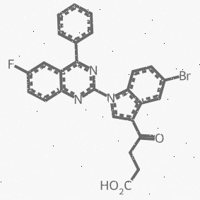 O=C(O)CCC(=O)c1cn(-c2nc(-c3ccccc3)c3cc(F)ccc3n2)c2ccc(Br)cc12